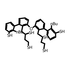 CCCCc1c(S)cccc1-c1cccc(Oc2cccc(-c3cccc(S)c3CCCC)c2CC(S)CCS)c1CC(S)CCS